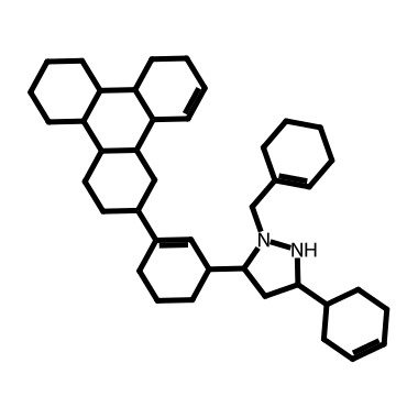 C1=CCC(C2CC(C3C=C(C4CCC5C(C4)C4C=CCCC4C4CCCCC45)CCC3)N(CC3=CCCCC3)N2)CC1